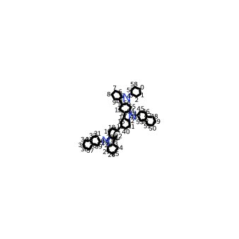 c1ccc(-n2c3ccccc3c3cc4c5cc(-c6ccc7c(c6)c6ccccc6n7-c6ccc7ccccc7c6)ccc5n(-c5ccc6ccccc6c5)c4cc32)cc1